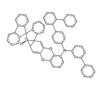 C1=C2Oc3cccc(N(c4ccc(-c5ccccc5-c5ccccc5)cc4)c4cccc(-c5ccccc5)c4)c3OC2=CC23c4ccccc4C4(c5ccccc5-c5ccccc54)[C@H]2C13